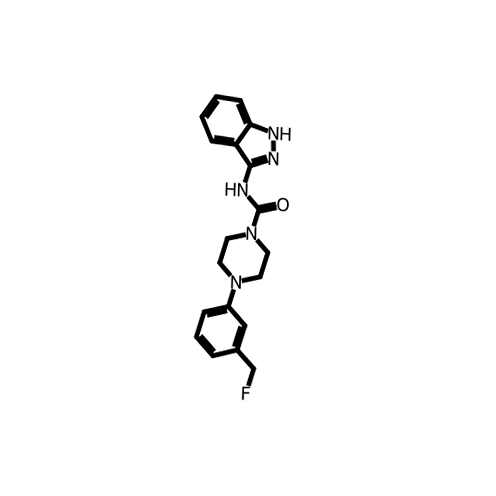 O=C(Nc1n[nH]c2ccccc12)N1CCN(c2cccc(CF)c2)CC1